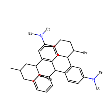 CCN(CC)c1ccc(C(c2ccccc2)c2ccc(N(CC)CC)cc2C2CC(C)CCC2C(C)C)c(C2CC(C)CCC2C(C)C)c1